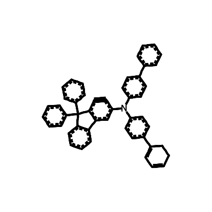 c1c(N(c2ccc(C3=CC=CCC3)cc2)c2ccc(-c3ccccc3)cc2)cc2c(c#1)C(c1ccccc1)(c1ccccc1)c1ccccc1-2